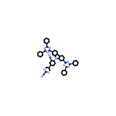 N#Cc1ncc(-c2ccc(-n3c4cc(-c5nc(-c6ccccc6)nc(-c6ccccc6)n5)ccc4c4ccc(-c5nc(-c6ccccc6)nc(-c6ccccc6)n5)cc43)c(C#N)c2)cn1